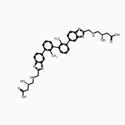 Cc1c(-c2ccc3nc(CNC[C@H](O)CC(=O)O)sc3c2)cccc1-c1cccc(-c2ccc3nc(CNC[C@H](O)CC(=O)O)sc3c2)c1C